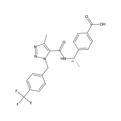 Cc1nnn(Cc2ccc(C(F)(F)F)cc2)c1C(=O)N[C@@H](C)c1ccc(C(=O)O)cc1